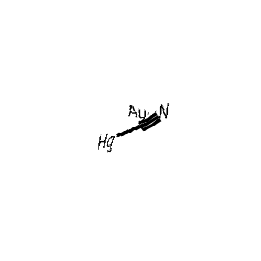 N#[C][Hg].[Au]